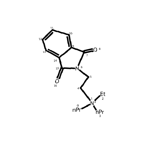 CCC[N+](CC)(CCC)CCN1C(=O)c2ccccc2C1=O